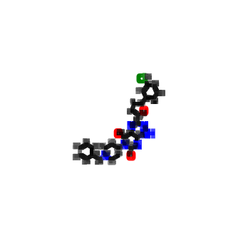 O=c1nc2[nH]nc(-c3ccc(-c4cccc(Cl)c4)o3)nc-2c(=O)n1C1CCN(Cc2ccccc2)CC1